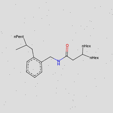 CCCCCCC(CCCCCC)CC(=O)NCc1ccccc1CC(C)CCCCC